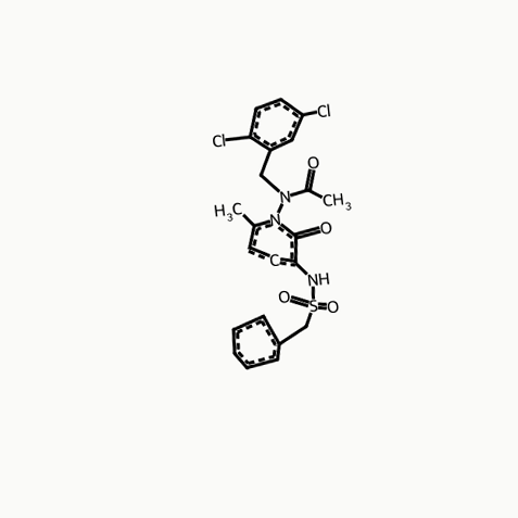 CC(=O)N(Cc1cc(Cl)ccc1Cl)n1c(C)ccc(NS(=O)(=O)Cc2ccccc2)c1=O